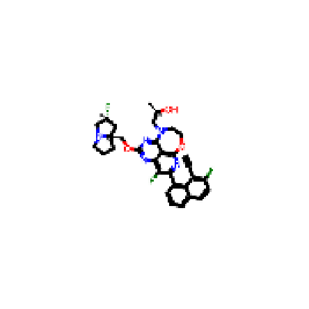 C#Cc1c(F)ccc2cccc(-c3nc4c5c(nc(OC[C@@]67CCCN6C[C@H](F)C7)nc5c3F)N(C[C@@H](C)O)CCO4)c12